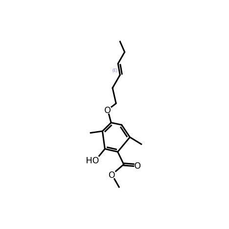 CC/C=C/CCOc1cc(C)c(C(=O)OC)c(O)c1C